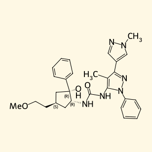 COCC[C@@H]1C[C@@H](NC(=O)Nc2c(C)c(-c3cnn(C)c3)nn2-c2ccccc2)[C@](O)(c2ccccc2)C1